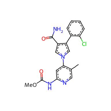 COC(=O)Nc1cc(-n2cc(C(N)=O)c(-c3ccccc3Cl)c2)c(C)cn1